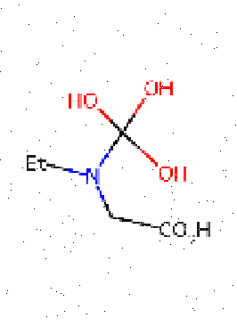 CCN(CC(=O)O)C(O)(O)O